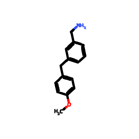 COc1ccc(Cc2cccc(CN)c2)cc1